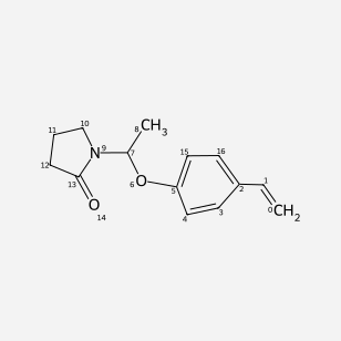 C=Cc1ccc(OC(C)N2CCCC2=O)cc1